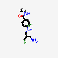 CC(C)(C)NC(=O)c1ccc(NCC(=CF)CN)cc1.Cl